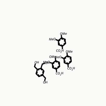 COc1ccc(C(=O)O)cc1OC.COc1ccc(C(=O)O)cc1OC.COc1ccc(C(=O)O)cc1OC.OCc1ccc(CO)c(CO)c1